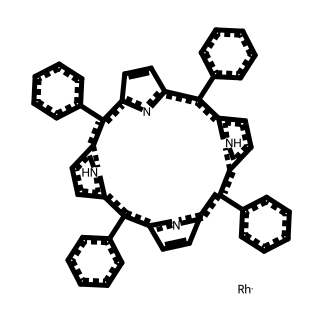 C1=Cc2nc1c(-c1ccccc1)c1ccc([nH]1)c(-c1ccccc1)c1nc(c(-c3ccccc3)c3ccc([nH]3)c2-c2ccccc2)C=C1.[Rh]